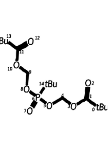 CC(C)(C)C(=O)OCOP(=O)(OCOC(=O)C(C)(C)C)C(C)(C)C